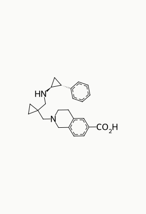 O=C(O)c1ccc2c(c1)CCN(CC1(CN[C@H]3C[C@@H]3c3ccccc3)CC1)C2